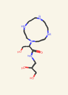 O=C(NCC(O)CO)C(CO)N1CCNCCNCCNCC1